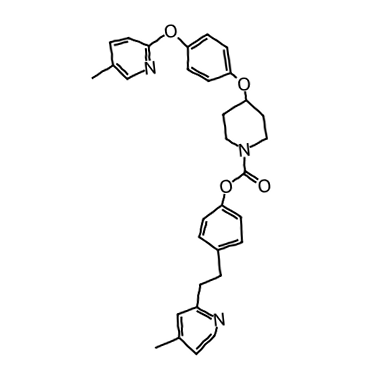 Cc1ccc(Oc2ccc(OC3CCN(C(=O)Oc4ccc(CCc5cc(C)ccn5)cc4)CC3)cc2)nc1